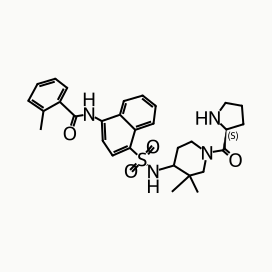 Cc1ccccc1C(=O)Nc1ccc(S(=O)(=O)NC2CCN(C(=O)[C@@H]3CCCN3)CC2(C)C)c2ccccc12